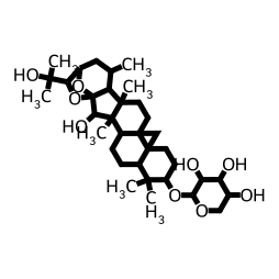 CC1CC2OC3(OC2C(C)(C)O)C1C1(C)CCC24CC25CCC(OC2OCC(O)C(O)C2O)C(C)(C)C5CCC4C1(C)C3O